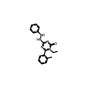 CCn1c(-c2ccccc2C)nc(NNc2ccccc2)nc1=O